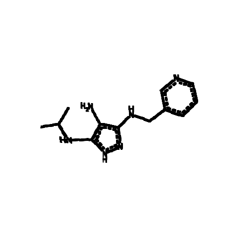 CC(C)Nc1[nH]nc(NCc2cccnc2)c1N